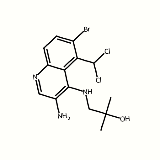 CC(C)(O)CNc1c(N)cnc2ccc(Br)c(C(Cl)Cl)c12